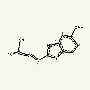 COc1ccc2sc(N=C=C(C#N)C#N)nc2c1